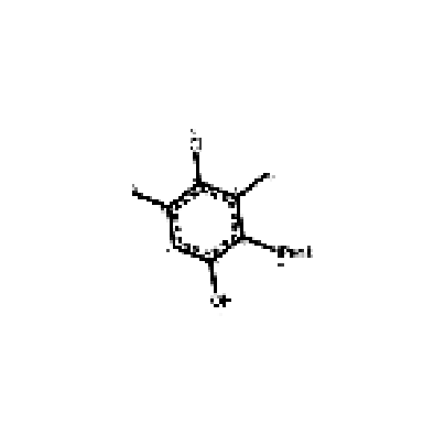 CCCC(C)c1c(O)cc(C)c(Cl)c1C